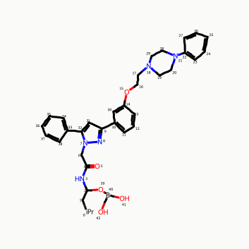 CC(C)CC(NC(=O)Cn1nc(-c2cccc(OCCN3CCN(c4ccccc4)CC3)c2)cc1-c1ccccc1)OB(O)O